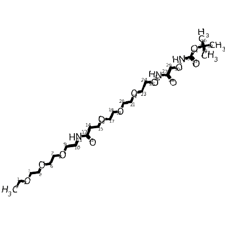 CCOCCOCCOCCNC(=O)CCOCCOCCOCCONC(=O)CONC(=O)OC(C)(C)C